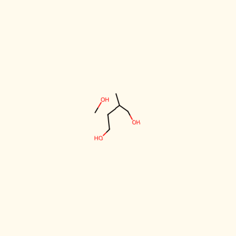 CC(CO)CCO.CO